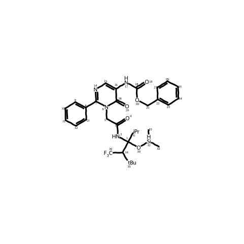 CC(C)C(NC(=O)Cn1c(-c2ccccc2)ncc(NC(=O)OCc2ccccc2)c1=O)(O[SiH](C)C)C(C(C)(C)C)C(F)(F)F